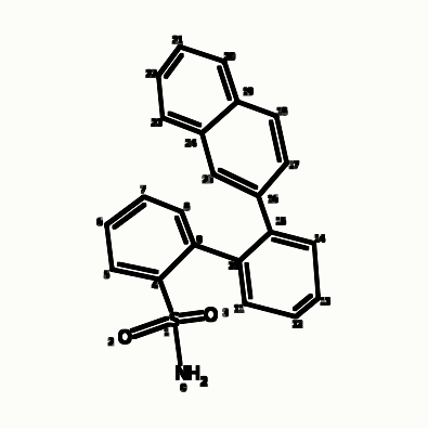 NS(=O)(=O)c1ccccc1-c1ccccc1-c1ccc2ccccc2c1